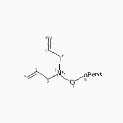 C=CC[N+](CC=C)OCCCCC